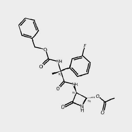 CC(=O)O[C@@H]1NC(=O)[C@H]1NC(=O)[C@](C)(NC(=O)OCc1ccccc1)c1cccc(F)c1